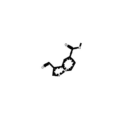 COC(=O)c1ccn2ncc(C=O)c2c1